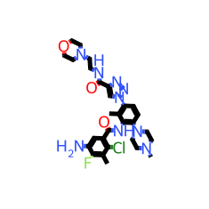 Cc1c(F)c(N)cc(C(=O)Nc2c(N3CCN(C)CC3)ccc(-n3cc(C(=O)NCCN4CCOCC4)nn3)c2C)c1Cl